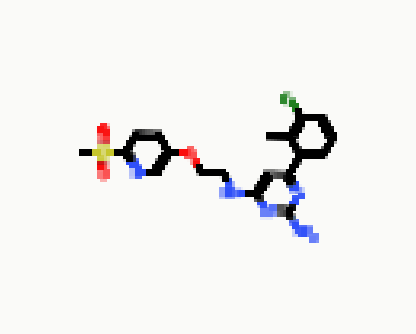 Cc1c(Cl)cccc1-c1cc(NCCOc2ccc(S(C)(=O)=O)nc2)nc(N)n1